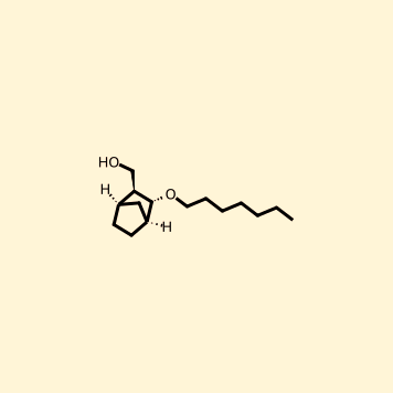 CCCCCCCO[C@@H]1[C@H]2CC[C@H](C2)[C@H]1CO